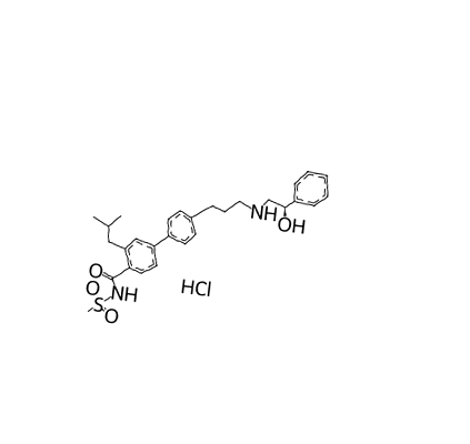 CC(C)Cc1cc(-c2ccc(CCCNC[C@H](O)c3ccccc3)cc2)ccc1C(=O)NS(C)(=O)=O.Cl